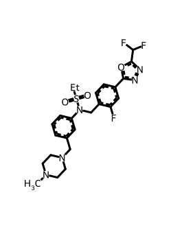 CCS(=O)(=O)N(Cc1ccc(-c2nnc(C(F)F)o2)cc1F)c1cccc(CN2CCN(C)CC2)c1